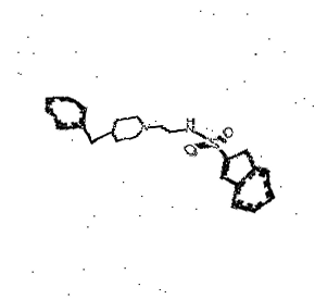 O=S(=O)(NCCN1CCC(Cc2ccccc2)CC1)C1=Cc2ccccc2C1